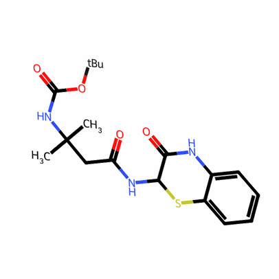 CC(C)(CC(=O)NC1Sc2ccccc2NC1=O)NC(=O)OC(C)(C)C